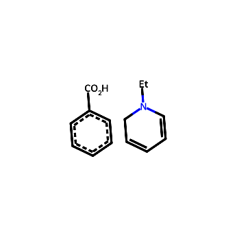 CCN1C=CC=CC1.O=C(O)c1ccccc1